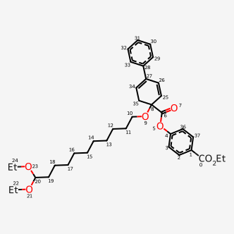 CCOC(=O)c1ccc(OC(=O)C2(OCCCCCCCCCCC(OCC)OCC)C=CC(c3ccccc3)=CC2)cc1